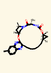 Cc1ccc2nc3c(nc2c1)O[C@@H]1C[C@@H](C)N(C1)C(=O)[C@H](C(C)(C)C)NC(=O)O[C@@H]1C[C@H]1CCCCC3